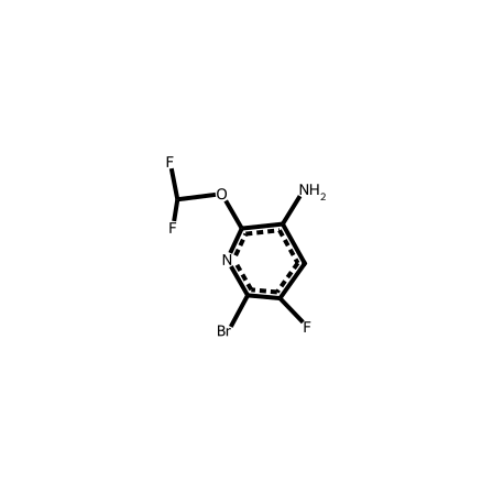 Nc1cc(F)c(Br)nc1OC(F)F